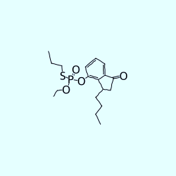 CCCCC1CC(=O)c2cccc(OP(=O)(OCC)SCCC)c21